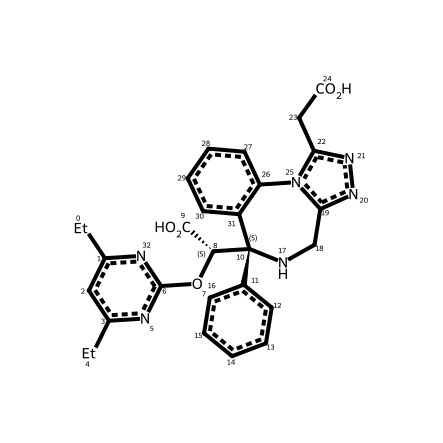 CCc1cc(CC)nc(O[C@H](C(=O)O)[C@@]2(c3ccccc3)NCc3nnc(CC(=O)O)n3-c3ccccc32)n1